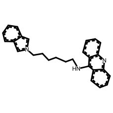 c1ccc2cn(CCCCCCNc3c4ccccc4nc4ccccc34)cc2c1